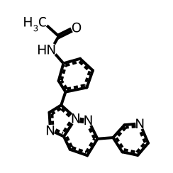 CC(=O)Nc1cccc(-c2cnc3ccc(-c4cccnc4)nn23)c1